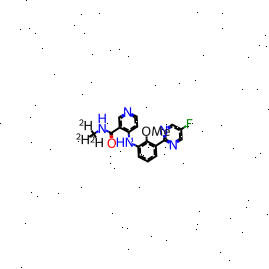 [2H]C([2H])([2H])NC(=O)c1cnccc1Nc1cccc(-c2ncc(F)cn2)c1OC